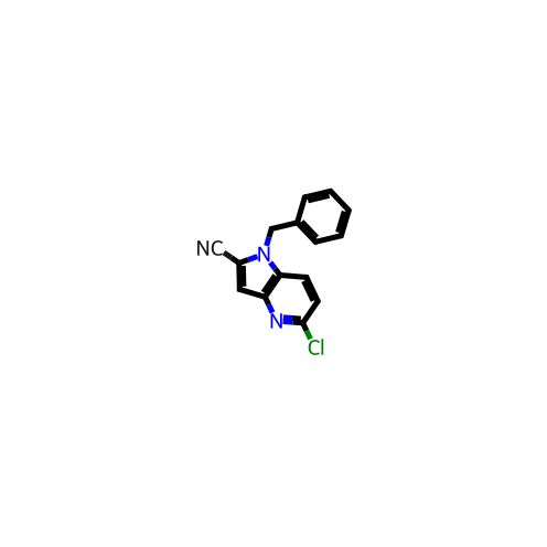 N#Cc1cc2nc(Cl)ccc2n1Cc1ccccc1